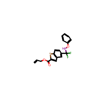 C=CCOC(=O)c1cc2cc(C(F)(F)POc3ccccc3)ccc2s1